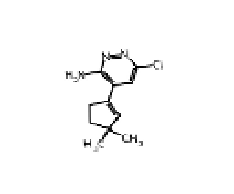 CC1(C)C=C(c2cc(Cl)nnc2N)CC1